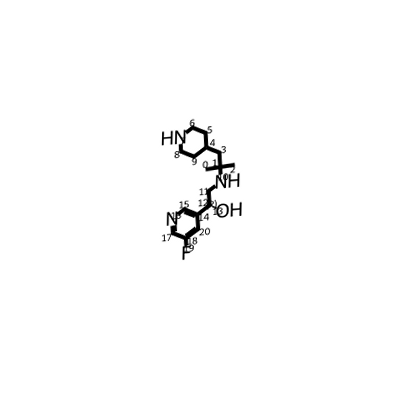 CC(C)(CC1CCNCC1)NC[C@H](O)c1cncc(F)c1